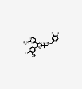 CC(C)(CNCc1ccc(F)c(F)c1)c1nc(-c2ccc(Cl)c(O)c2)c(-c2ccnc(N)n2)[nH]1